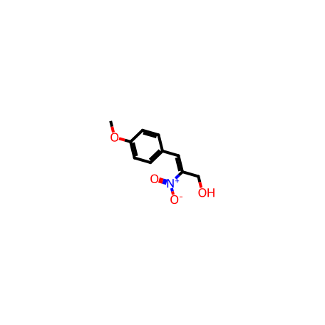 COc1ccc(C=C(CO)[N+](=O)[O-])cc1